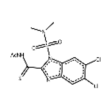 CC(=O)NC(=S)c1nc2cc(Cl)c(Cl)cc2n1S(=O)(=O)N(C)C